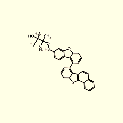 CC(C)(O)C(C)(C)OBc1ccc2c(c1)oc1cccc(-c3cccc4sc5c6ccccc6ccc5c34)c12